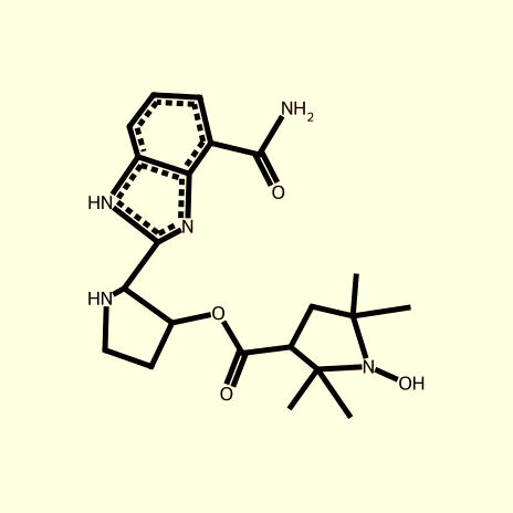 CC1(C)CC(C(=O)OC2CCNC2c2nc3c(C(N)=O)cccc3[nH]2)C(C)(C)N1O